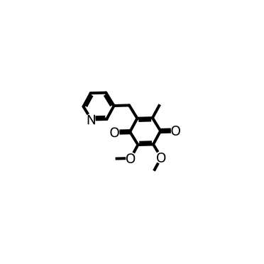 COC1=C(OC)C(=O)C(Cc2cccnc2)=C(C)C1=O